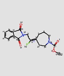 CC(C)(C)OC(=O)N1CCC/C(=C(/F)CN2C(=O)c3ccccc3C2=O)CC1